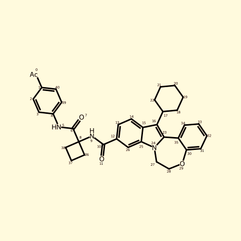 CC(=O)c1ccc(NC(=O)C2(NC(=O)c3ccc4c(C5CCCCC5)c5n(c4c3)CCOc3ccccc3-5)CCC2)cc1